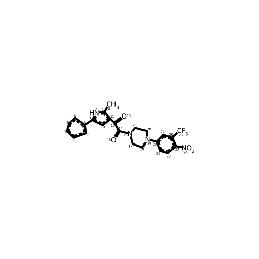 Cc1[nH]c(-c2ccccc2)cc1C(=O)C(=O)N1CCN(c2ccc([N+](=O)[O-])c(C(F)(F)F)c2)CC1